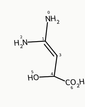 NC(N)=CC(O)C(=O)O